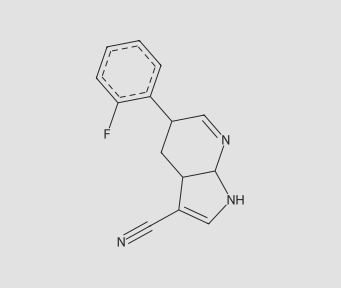 N#CC1=CNC2N=CC(c3ccccc3F)CC12